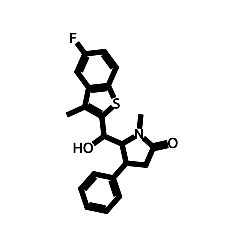 Cc1c(C(O)C2C(c3ccccc3)CC(=O)N2C)sc2ccc(F)cc12